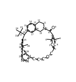 Cc1cc2cc(C)c1C(=O)N1CCc3ccc(cc3C1)C(C(C)(C)C)c1ccc3c(nnn3CCCOC2)c1C